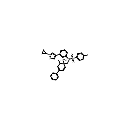 COC1(CN(c2cccc(-c3cnn(C4CC4)c3)c2)S(=O)(=O)c2ccc(C)cc2)C=CC(c2ccccc2)=CC1C